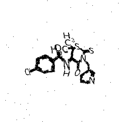 CC1(C)SC(=S)N(Cc2cccnc2)C(=O)C1NC(=O)c1ccc(Cl)cc1